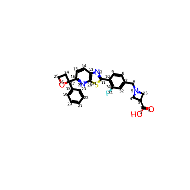 O=C(O)C1CN(Cc2ccc(-c3nc4ccc(C5(c6ccccc6)CCO5)nc4s3)c(F)c2)C1